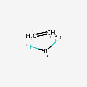 C=C.F[B]F